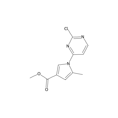 COC(=O)c1cc(C)n(-c2ccnc(Cl)n2)c1